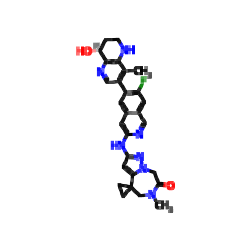 Cc1c(-c2cc3cc(Nc4cc5n(n4)CC(=O)N(C)CC54CC4)ncc3cc2F)cnc2c1NCC[C@H]2O